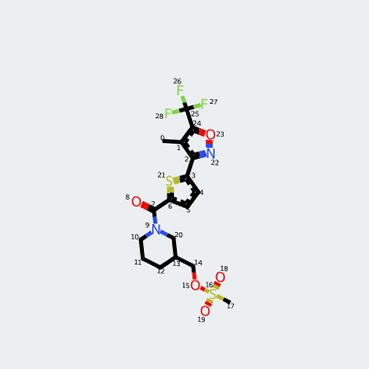 Cc1c(-c2ccc(C(=O)N3CCCC(COS(C)(=O)=O)C3)s2)noc1C(F)(F)F